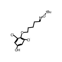 CC(C)(C)ON=CCCCCOc1c(Cl)cc(O)cc1Cl